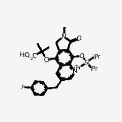 CC(C)[Si](Oc1c2c(c(OC(C)(C)C(=O)O)c3cc(Cc4ccc(F)cc4)cnc13)CN(C)C2=O)(C(C)C)C(C)C